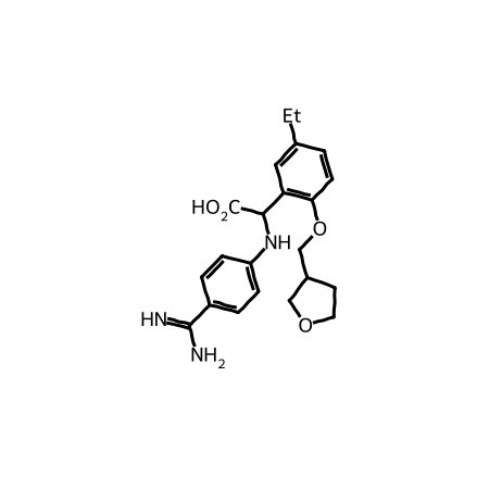 CCc1ccc(OCC2CCOC2)c(C(Nc2ccc(C(=N)N)cc2)C(=O)O)c1